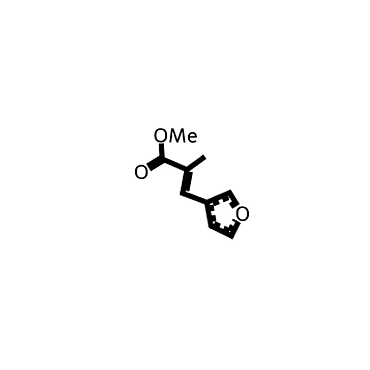 COC(=O)/C(C)=C/c1ccoc1